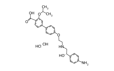 CC(C)Oc1cc(-c2ccc(OCCNC[C@@H](O)c3ccc(N)cc3)cc2)ccc1C(=O)O.Cl.Cl